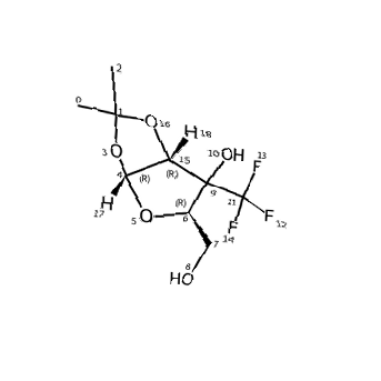 CC1(C)O[C@H]2O[C@H](CO)C(O)(C(F)(F)F)[C@H]2O1